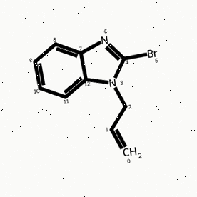 C=CCn1c(Br)nc2ccccc21